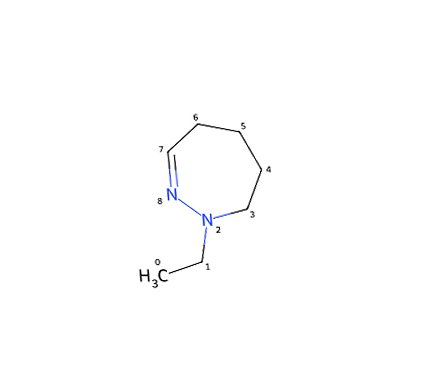 CCN1CCCCC=N1